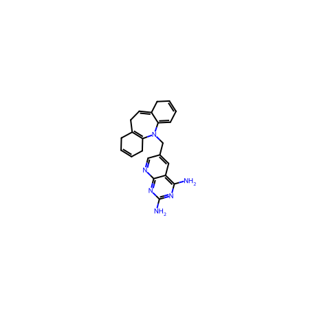 Nc1nc(N)c2cc(CN3C4=CC=CCC4=CCC4=C3CC=CC4)cnc2n1